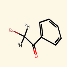 [2H]C([2H])(Br)C(=O)c1ccccc1